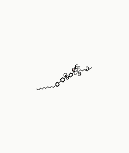 CCCCCCCCCCc1ccc(-c2ccc(C(=O)Oc3ccc(C(=O)O[C@@H]([C@@H](CCCCOCC)OC)C(F)(F)F)cc3)cc2)cc1